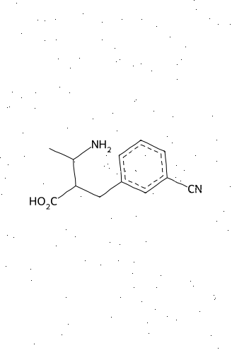 CC(N)C(Cc1cccc(C#N)c1)C(=O)O